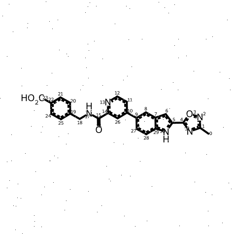 Cc1noc(-c2cc3cc(-c4ccnc(C(=O)NCc5ccc(C(=O)O)cc5)c4)ccc3[nH]2)n1